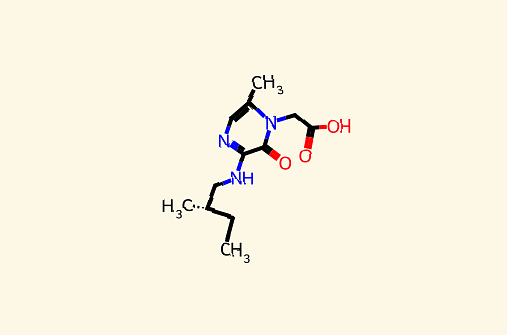 CC[C@H](C)CNc1ncc(C)n(CC(=O)O)c1=O